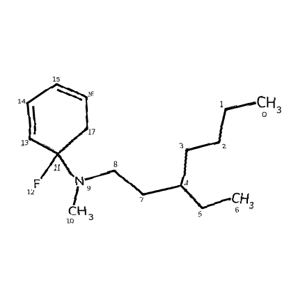 CCCCC(CC)CCN(C)C1(F)C=CC=CC1